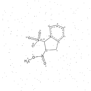 COC(=O)C1Cc2ccccc2C1S(=O)(=O)Cl